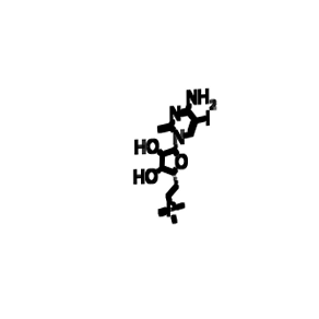 C=C1N=C(N)C(I)=CN1[C@@H]1O[C@H](CCP(=C)(C)C)[C@@H](O)C1O